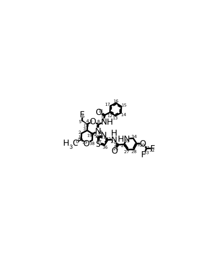 C[C@H]1CC2[C@@H](CF)OC(NC(=O)c3ccccc3)=N[C@@]2(c2nc(NC(=O)C3=CC=C(OC(F)F)CN3)cs2)CO1